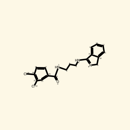 O=C(NCCCNC1=NCc2ccccc21)c1ccc(Cl)c(Cl)c1